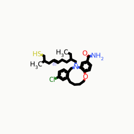 CCC(CC/C=C/CC(C)CS)CN1Cc2ccc(Cl)cc2CCCCOc2ccc(C(N)=O)cc21